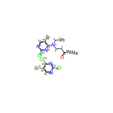 CNC(=O)CCN(CC(C)C)c1nc(Cl)ncc1Br.Clc1ncc(Br)c(Cl)n1